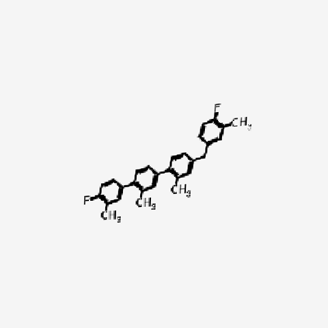 Cc1cc(Cc2ccc(-c3ccc(-c4ccc(F)c(C)c4)c(C)c3)c(C)c2)ccc1F